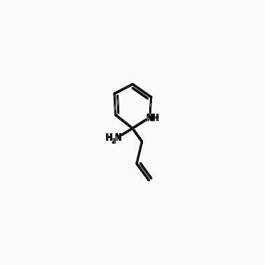 C=CCC1(N)C=CC=CN1